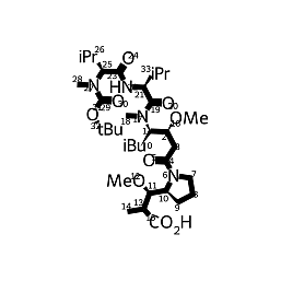 CC[C@H](C)[C@@H]([C@@H](CC(=O)N1CCC[C@H]1[C@H](OC)C(C)C(=O)O)OC)N(C)C(=O)[C@@H](NC(=O)[C@H](C(C)C)N(C)C(=O)OC(C)(C)C)C(C)C